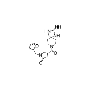 N=C1NCC2(CCN(C(=O)C3CC(=O)N(Cc4ccco4)C3)CC2)N1